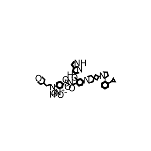 O=C(NS(=O)(=O)c1ccc(NCCC2CCOCC2)c([N+](=O)[O-])c1)c1ccc(N2CCC3(CC2)CC(N2CCC[C@H]2c2ccccc2C2CC2)C3)cc1Oc1cnc2[nH]ccc2c1